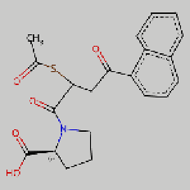 CC(=O)SC(CC(=O)c1cccc2ccccc12)C(=O)N1CCC[C@H]1C(=O)O